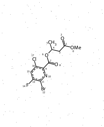 COC(=O)CC(C)OC(=O)c1nc(Br)c(F)cc1Cl